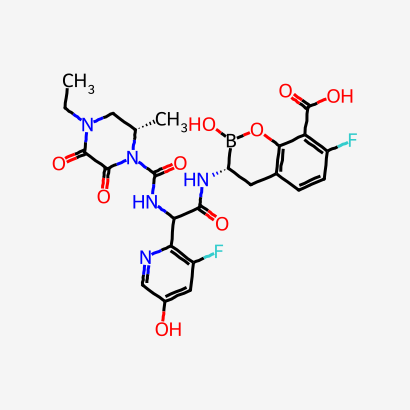 CCN1C[C@H](C)N(C(=O)NC(C(=O)N[C@H]2Cc3ccc(F)c(C(=O)O)c3OB2O)c2ncc(O)cc2F)C(=O)C1=O